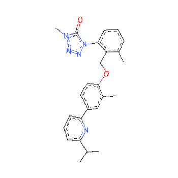 Cc1cc(-c2cccc(C(C)C)n2)ccc1OCc1c(C)cccc1-n1nnn(C)c1=O